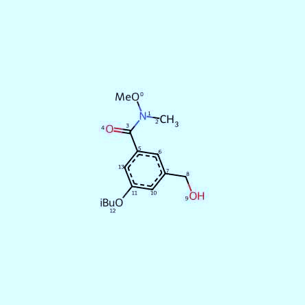 CON(C)C(=O)c1cc(CO)cc(OCC(C)C)c1